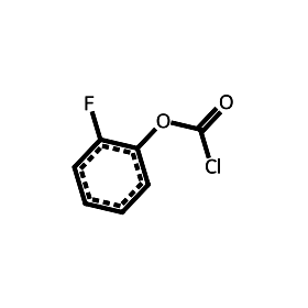 O=C(Cl)Oc1ccccc1F